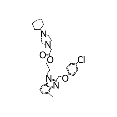 Cc1cccc2c1nc(COc1ccc(Cl)cc1)n2CCCOC(=O)CN1CCN(C2CCCCC2)CC1